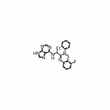 CCC(Nc1ncnc2[nH]cnc12)C1=Nc2cccc(F)c2SN1c1ccccc1